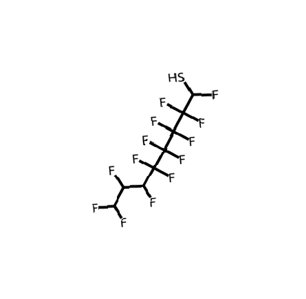 FC(F)C(F)C(F)C(F)(F)C(F)(F)C(F)(F)C(F)(F)C(F)S